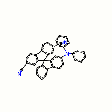 N#Cc1ccc2c(c1)C1(c3ccccc3-c3ccc(N(c4ccccc4)c4ccccc4)cc31)c1cc(C#N)ccc1-2